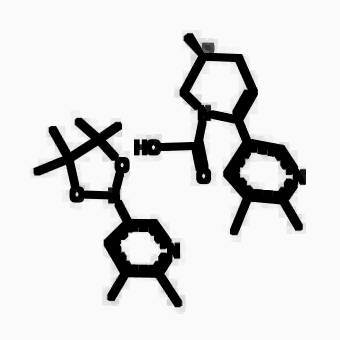 Cc1cc(B2OC(C)(C)C(C)(C)O2)cnc1C.Cc1cc(C2=CC[C@H](C)CN2C(=O)O)cnc1C